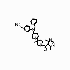 Cc1ncnc(C)c1C(=O)N1CCC(C)(N2CCC(N(Cc3ccccc3)c3ccc(CC#N)cc3)CC2)CC1